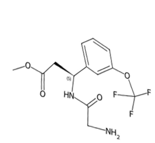 COC(=O)C[C@H](NC(=O)CN)c1cccc(OC(F)(F)F)c1